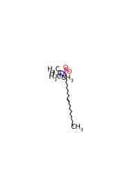 CCCCCCCCCCC=CCCCCCCCCCC(CCC)(P(=O)=O)[N+](C)(C)C